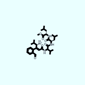 COC(=O)[C@H](CC(C)C)NC(=O)[C@@H](CC(C)C)NC(=O)C(NC(=O)/C=C(/c1ccccc1C=O)[C@@H](N)C(C)C)C(C)C